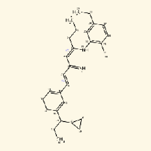 CCC/C(=C/C(=N)/C=C/C1=CCCC(C(CC)C2CC2)=C1)Nc1cc(CC)ccc1F